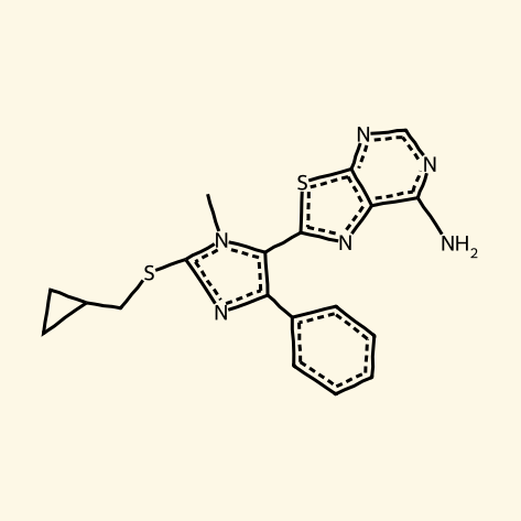 Cn1c(SCC2CC2)nc(-c2ccccc2)c1-c1nc2c(N)ncnc2s1